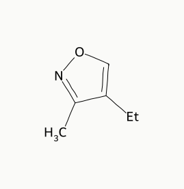 CCc1conc1C